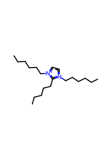 CCCCCCn1cc[n+](CCCCCC)c1CCCCC